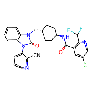 N#Cc1ncccc1-n1c(=O)n(C[C@H]2CC[C@H](NC(=O)c3cc(Cl)cnc3C(F)F)CC2)c2ccccc21